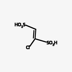 O=S(=O)(O)C=C(Cl)S(=O)(=O)O